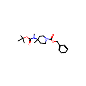 CN(C(=O)OC(C)(C)C)C1(C)CCN(C(=O)OCc2ccccc2)CC1